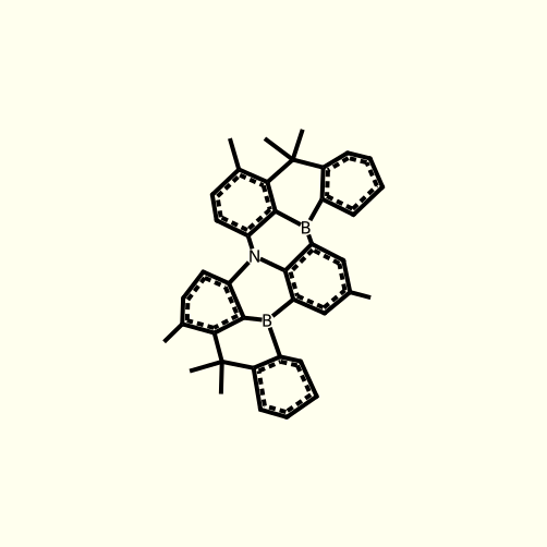 Cc1cc2c3c(c1)B1c4ccccc4C(C)(C)c4c(C)ccc(c41)N3c1ccc(C)c3c1B2c1ccccc1C3(C)C